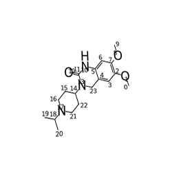 COc1cc2c(cc1OC)NC(=O)N(C1CCN(C(C)C)CC1)C2